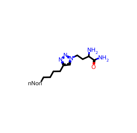 CCCCCCCCCCCCCc1cn(CCC(N)C(N)=O)nn1